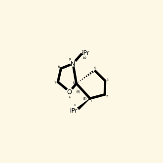 CC(C)[C@@H]1CCC[C@@]12OCCN2C(C)C